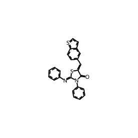 O=C1C(=Cc2ccc3sccc3c2)SC(=Nc2ccccc2)N1c1ccccc1